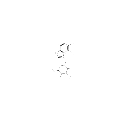 OCC1OC(Oc2c[nH]c3ccc(Br)c(Cl)c23)C(O)C(O)C1O